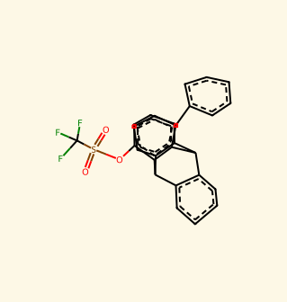 O=S(=O)(Oc1ccc(-c2ccccc2)c2c1C1c3ccccc3C2c2ccccc21)C(F)(F)F